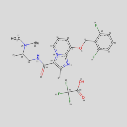 Cc1nc2c(OCc3c(F)cccc3F)cccn2c1C(=O)NCC(C)N(C(=O)O)C(C)(C)C.O=C(O)C(F)(F)F